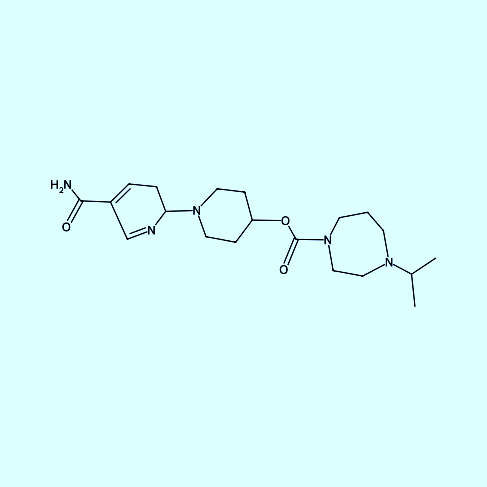 CC(C)N1CCCN(C(=O)OC2CCN(C3CC=C(C(N)=O)C=N3)CC2)CC1